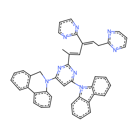 C/C(=C\C(=C/Cc1ncccn1)c1ncccn1)c1nc(N2Cc3ccccc3-c3ccccc32)cc(-n2c3ccccc3c3ccccc32)n1